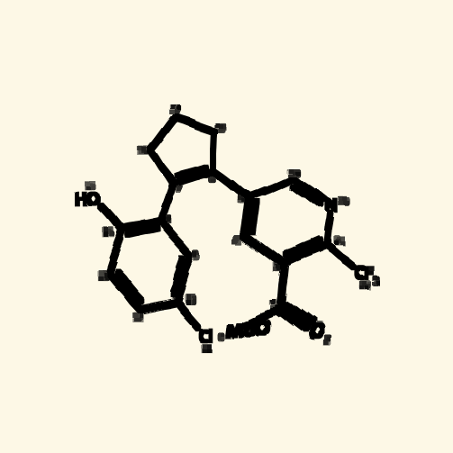 COC(=O)c1cc(C2=C(c3cc(Cl)ccc3O)CCC2)cnc1C(F)(F)F